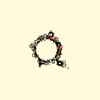 CC[C@H](C)[C@@H]1NC(=O)[C@H](CC(C)C)N(C)C(=O)C[C@@H](C(=O)N2CCCCC2)N(C)C(=O)[C@H](C(C)C)N(C)C(=O)C2(CCCC2)NC(=O)[C@@H]2CCCN2C(=O)[C@H](CCc2ccc(C(F)(F)F)c(Cl)c2)NC(=O)CN(C)C(=O)[C@H](CC2CC2)N(C)C(=O)CN(C)C(=O)CN(C)C1=O